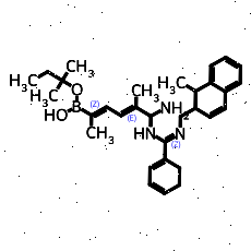 CCC(C)(C)OB(O)/C(C)=C/C=C(\C)C(N)N/C(=N\CC1C=Cc2ccccc2C1C)C1=CC=CCC1